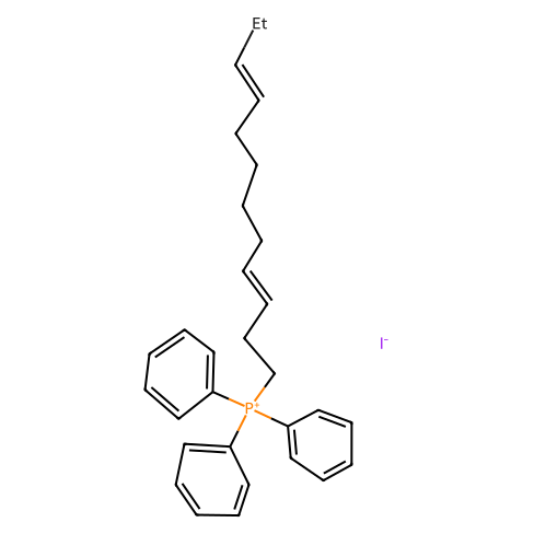 CCC=CCCCCC=CCC[P+](c1ccccc1)(c1ccccc1)c1ccccc1.[I-]